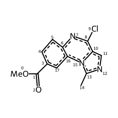 COC(=O)c1ccc2nc(Cl)c3cnc(C)n3c2c1